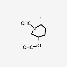 C[C@@H]1CC[C@H](OC=O)CN1C=O